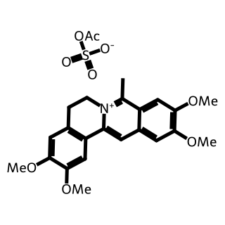 CC(=O)OS(=O)(=O)[O-].COc1cc2c(cc1OC)-c1cc3cc(OC)c(OC)cc3c(C)[n+]1CC2